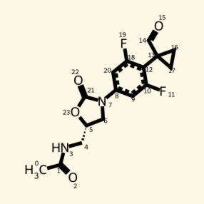 CC(=O)NC[C@H]1CN(c2cc(F)c(C3(C=O)CC3)c(F)c2)C(=O)O1